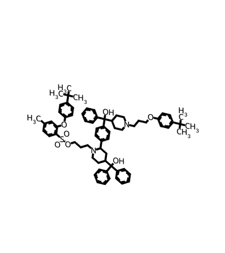 Cc1ccc(S(=O)(=O)OCCCN2CCC(C(O)(c3ccccc3)c3ccccc3)CC2c2ccc(C(O)(c3ccccc3)C3CCN(CCCOc4ccc(C(C)(C)C)cc4)CC3)cc2)c(Oc2ccc(C(C)(C)C)cc2)c1